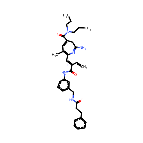 C=C/C(=C\C1=C(C)C=C(C(=O)N(CCC)CCC)CC(N)=N1)C(=O)Nc1cccc(CNC(=O)CCc2ccccc2)c1